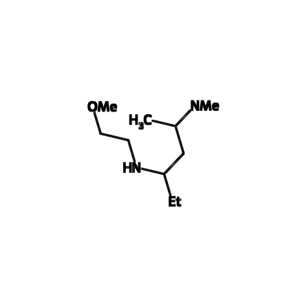 CCC(CC(C)NC)NCCOC